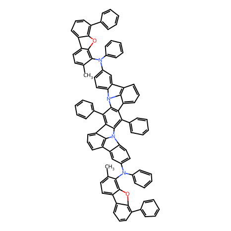 Cc1ccc2c(oc3c(-c4ccccc4)cccc32)c1N(c1ccccc1)c1ccc2c(c1)c1cccc3c4c(-c5ccccc5)c5c(c(-c6ccccc6)c4n2c13)c1cccc2c3cc(N(c4ccccc4)c4c(C)ccc6c4oc4c(-c7ccccc7)cccc46)ccc3n5c21